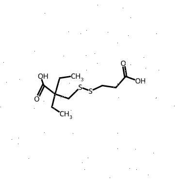 CCC(CC)(CSSCCC(=O)O)C(=O)O